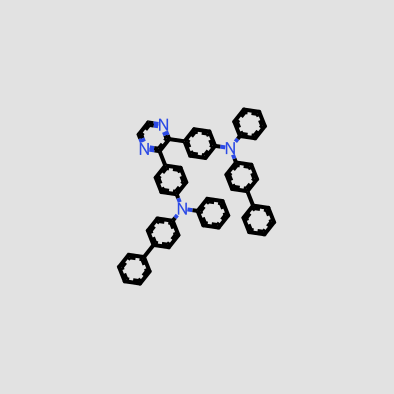 c1ccc(-c2ccc(N(c3ccccc3)c3ccc(-c4nccnc4-c4ccc(N(c5ccccc5)c5ccc(-c6ccccc6)cc5)cc4)cc3)cc2)cc1